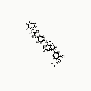 COc1ccc(-c2cnc3c(Nc4ccc(NC(=O)CN5CCOCC5)cc4)nccn23)cc1Cl